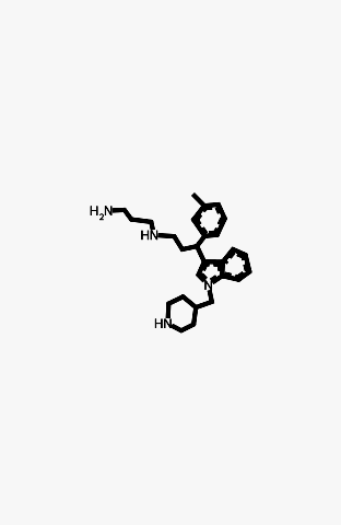 Cc1cccc(C(CCNCCCN)c2cn(CC3CCNCC3)c3ccccc23)c1